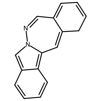 C1=CCC2=Cc3c4ccccc4cn3N=CC2=C1